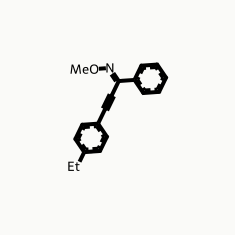 CCc1ccc(C#CC(=NOC)c2ccccc2)cc1